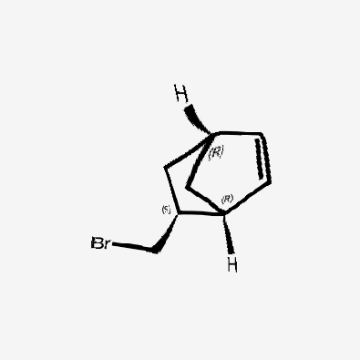 BrC[C@H]1C[C@@H]2C=C[C@H]1C2